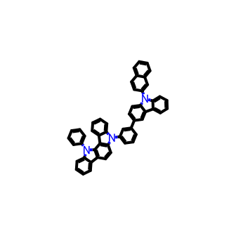 c1ccc(-n2c3ccccc3c3ccc4c(c5ccccc5n4-c4cccc(-c5ccc6c(c5)c5ccccc5n6-c5ccc6ccccc6c5)c4)c32)cc1